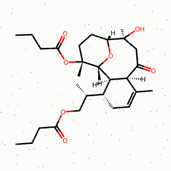 CCCC(=O)OC[C@H](C)[C@H]1CC=C(C)[C@@H]2C(=O)C[C@](C)(O)[C@H]3CC[C@@](C)(OC(=O)CCC)[C@H](O3)[C@@H]21